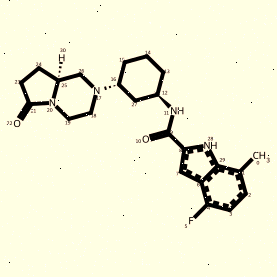 Cc1ccc(F)c2cc(C(=O)N[C@@H]3CCC[C@@H](N4CCN5C(=O)CC[C@H]5C4)C3)[nH]c12